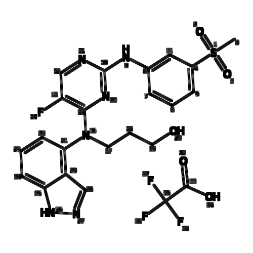 CS(=O)(=O)c1cccc(Nc2ncc(F)c(N(CCCO)c3cccc4[nH]ncc34)n2)c1.O=C(O)C(F)(F)F